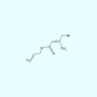 C=CCOC(=O)/C=C(\C)CBr